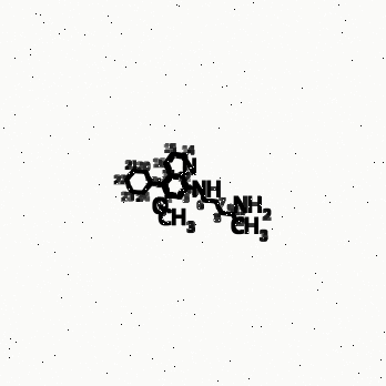 COc1cc(NCCCC(C)N)c2ncccc2c1C1CCCCC1